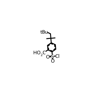 CC(C)(C)CC(C)(C)c1ccc(S(=O)(=O)Cl)c(C(=O)O)c1